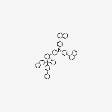 c1ccc(-c2ccc(C3(c4ccc5ccccc5c4)c4ccccc4-c4c(-c5ccc(N(c6ccc(-c7cccc8ccccc78)cc6)c6ccc(-c7cccc8ccccc78)cc6)cc5)cccc43)cc2)cc1